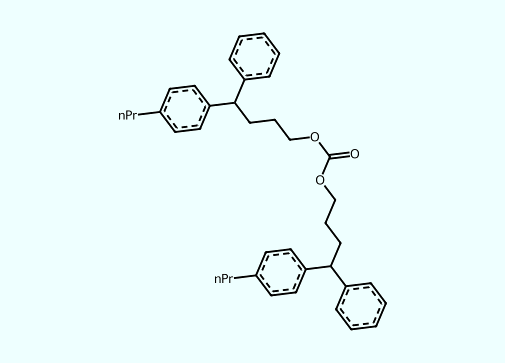 CCCc1ccc(C(CCCOC(=O)OCCCC(c2ccccc2)c2ccc(CCC)cc2)c2ccccc2)cc1